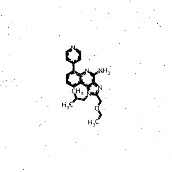 CCOCc1nc2c(N)nc3c(-c4ccncc4)cccc3c2n1CC(C)C